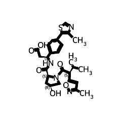 Cc1cc([C@@H](C(=O)N2C[C@H](O)C[C@H]2C(=O)N[C@@H](CC(=O)O)c2ccc(-c3scnc3C)cc2)C(C)C)on1